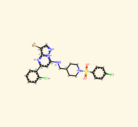 O=S(=O)(c1ccc(Cl)cc1)N1CCC(CNc2cc(-c3ccccc3Cl)nc3c(Br)cnn23)CC1